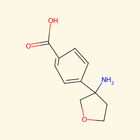 NC1(c2ccc(C(=O)O)cc2)CCOC1